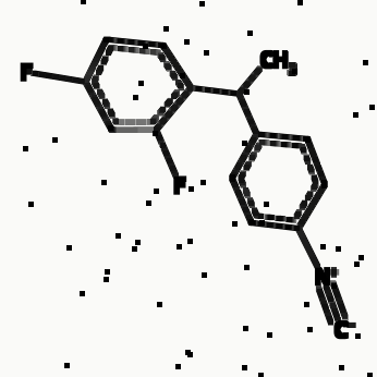 [C-]#[N+]c1ccc(C(C)c2ccc(F)cc2F)cc1